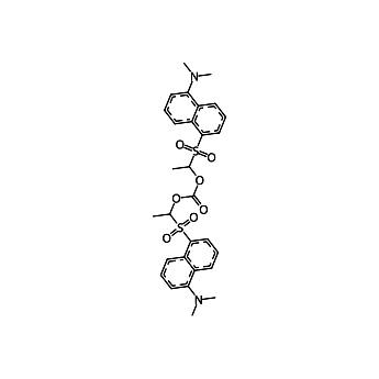 CC(OC(=O)OC(C)S(=O)(=O)c1cccc2c(N(C)C)cccc12)S(=O)(=O)c1cccc2c(N(C)C)cccc12